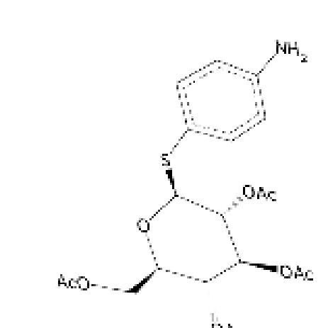 CC(=O)OC[C@H]1O[C@@H](Sc2ccc(N)cc2)[C@H](OC(C)=O)[C@@H](OC(C)=O)[C@@H]1OC(C)=O